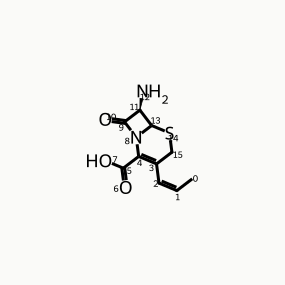 C/C=C\C1=C(C(=O)O)N2C(=O)[C@@H](N)C2SC1